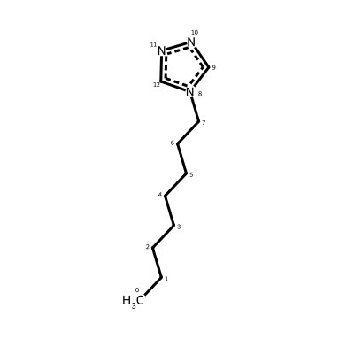 CCCCCCCCn1cnnc1